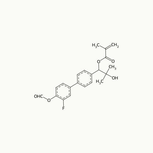 C=C(C)C(=O)OC(c1ccc(-c2ccc(OC=O)c(F)c2)cc1)C(C)(C)O